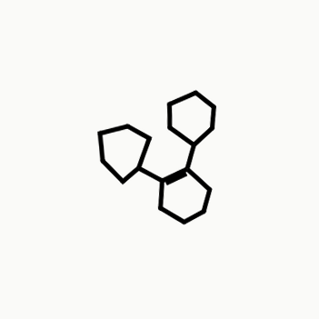 C1CCC(C2=C(C3CCCCC3)CCCC2)CC1